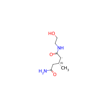 C[C@@H]([CH]C(=O)NCCO)CC(N)=O